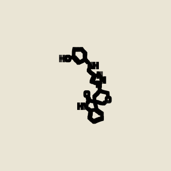 O=C1Nc2ccccc2C12COCC(n1cc(CNc3cccc(O)c3)nn1)C2